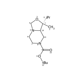 CC(C)[C@@]1(C)OCN2CCN(C(=O)OC(C)(C)C)CC21